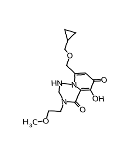 COCCN1CNn2c(COCC3CC3)cc(=O)c(O)c2C1=O